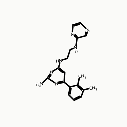 Cc1cccc(-c2cc(NCCNc3cnccn3)nc(N)n2)c1C